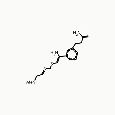 C=C(N)CCc1cccc(/C(N)=C/SC/N=C/CNC)c1